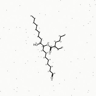 CCCCCCCCC(O)C(CCCCCCCC=O)OC(=O)C(CC)CCCC